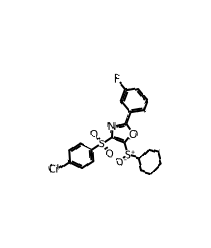 O=S(=O)(c1ccc(Cl)cc1)c1nc(-c2cccc(F)c2)oc1[S+]([O-])C1CCCCC1